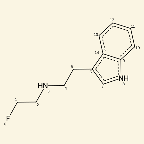 FCCNCCc1c[nH]c2ccccc12